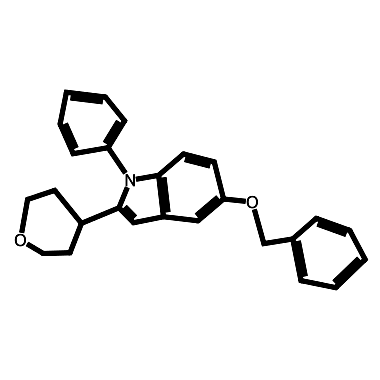 c1ccc(COc2ccc3c(c2)cc(C2CCOCC2)n3-c2ccccc2)cc1